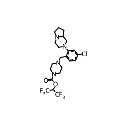 O=C(OC(C(F)(F)F)C(F)(F)F)N1CCN(Cc2ccc(Cl)cc2N2CCN3CCCC3C2)CC1